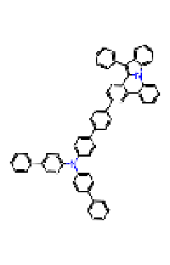 c1ccc(-c2ccc(N(c3ccc(-c4ccccc4)cc3)c3ccc(-c4ccc(-c5ccc6c(c5)c5ccccc5n5c7ccccc7c(-c7ccccc7)c65)cc4)cc3)cc2)cc1